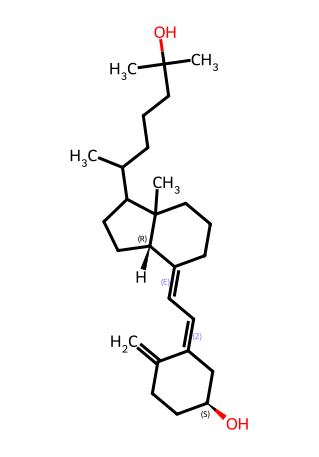 C=C1CC[C@H](O)C/C1=C/C=C1\CCCC2(C)C(C(C)CCCC(C)(C)O)CC[C@@H]12